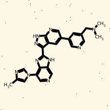 Cc1cn(-c2cncc3[nH]c(-c4n[nH]c5ncc(-c6cncc(CN(C)C)c6)cc45)nc23)cn1